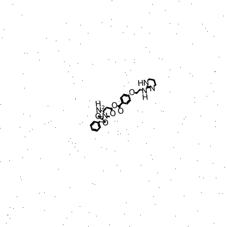 CN([C@H](N)CC(=O)OC(=O)c1ccc(OCCNC2=NCCCN2)cc1)S(=O)(=O)c1ccccc1